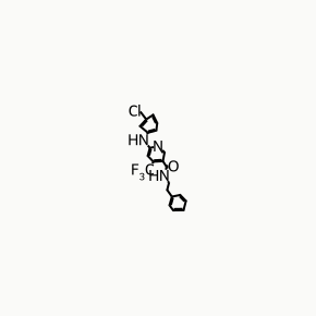 O=C(NCCc1ccccc1)c1cnc(Nc2cccc(Cl)c2)cc1C(F)(F)F